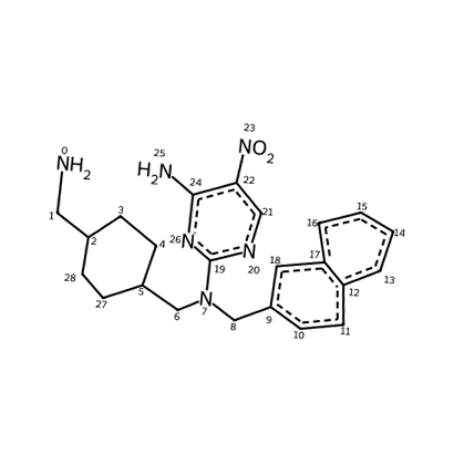 NCC1CCC(CN(Cc2ccc3ccccc3c2)c2ncc([N+](=O)[O-])c(N)n2)CC1